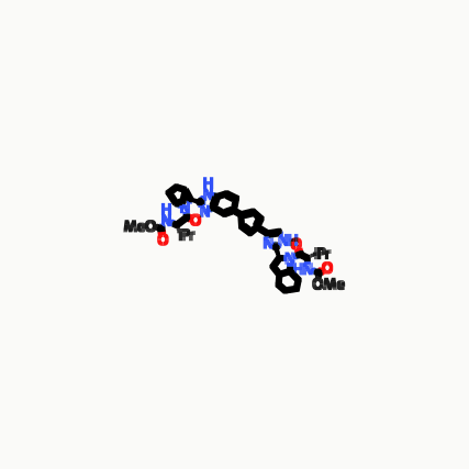 COC(=O)N[C@H](C(=O)N1C2CCC(C2)[C@H]1c1nc2cc(-c3ccc(-c4c[nH]c([C@@H]5CC6CCCCC6N5C(=O)[C@@H](NC(=O)OC)C(C)C)n4)cc3)ccc2[nH]1)C(C)C